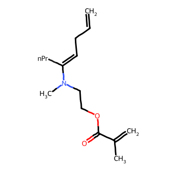 C=CC/C=C(\CCC)N(C)CCOC(=O)C(=C)C